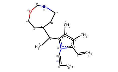 C=Cc1c(C)c(C)c(C(C)C2CCNCOCC2)n1/C=C\C